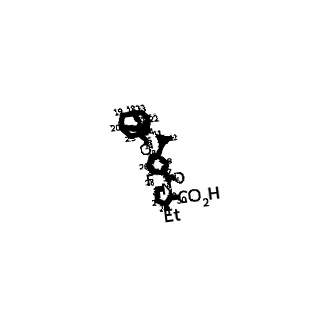 CCC1CCN(C(=O)c2cc(C3CC3)c(OCC34CC5CC(CC(C5)C3)C4)cc2F)C1C(=O)O